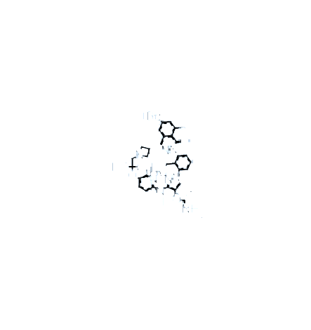 CC(C)(CN1CCC1)Oc1ccc(Nc2nn(-c3cccc(-n4ncc5cc(C(C)(C)C)cc(F)c5c4=O)c3CO)cc2OC(N)=O)nc1